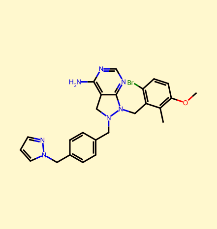 COc1ccc(Br)c(CN2c3ncnc(N)c3CN2Cc2ccc(Cn3cccn3)cc2)c1C